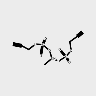 C#CCOS(=O)(=O)O[SiH](C)OS(=O)(=O)OCC#C